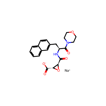 O=C([O-])[C@H]1O[C@@H]1C(=O)N[C@@H](Cc1ccc2ccccc2c1)C(=O)N1CCOCC1.[Na+]